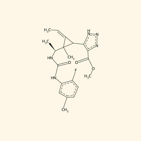 C/C=C1/C(c2[nH]nnc2C(=O)OC)C1(C)[C@H](C)NC(=O)Nc1cc(C)ccc1F